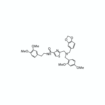 COc1ccc(CN(Cc2ccc3c(c2)OCO3)Cc2nc(C(=O)NCCc3ccc(OC)c(OC)c3)cs2)c(OC)c1